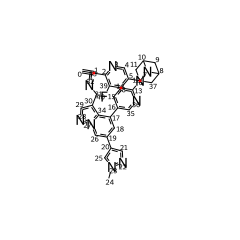 C#Cc1ncc(CN2C3CC2CN(c2ccc(-c4cc(-c5cnn(C)c5)cn5ncc(CN=C)c45)cn2)C3)cc1F